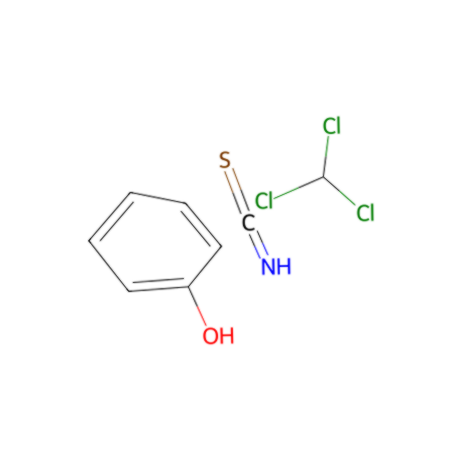 ClC(Cl)Cl.N=C=S.Oc1ccccc1